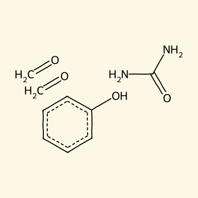 C=O.C=O.NC(N)=O.Oc1ccccc1